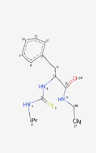 CC(C)NC(=S)NC(Cc1ccccc1)C(=O)NCC#N